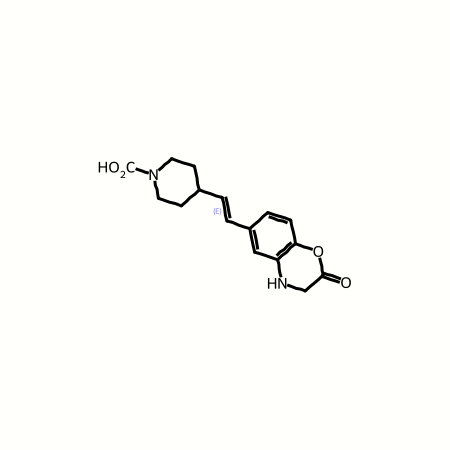 O=C1CNc2cc(/C=C/C3CCN(C(=O)O)CC3)ccc2O1